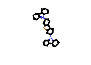 c1ccc2c(c1)c1ccccc1n2-c1ccc2c(c1)sc1cc(-n3c4ccccc4c4ccccc43)ccc12